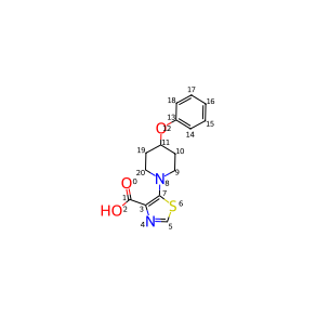 O=C(O)c1ncsc1N1CCC(Oc2ccccc2)CC1